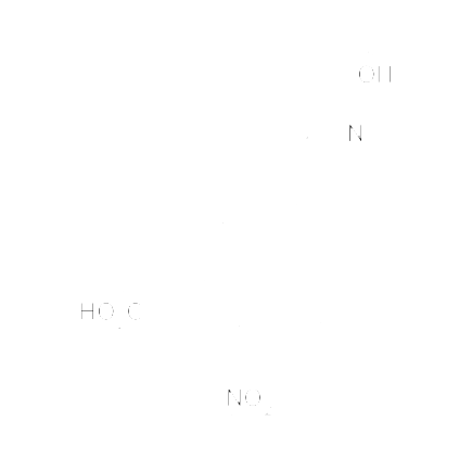 O=C(O)c1cc(C=NO)ccc1[N+](=O)[O-]